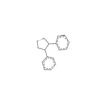 [c]1cccc(C2CCCC2c2[c]cccc2)c1